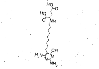 Nc1nc(N)c(CCCCCCCCCN[C@@H](CCC(=O)O)C(=O)O)c(O)n1